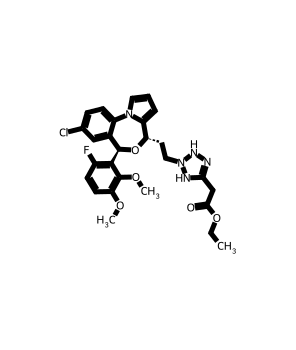 CCOC(=O)CC1=NNN(CC[C@@H]2O[C@@H](c3c(F)ccc(OC)c3OC)c3cc(Cl)ccc3-n3cccc32)N1